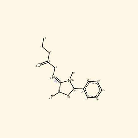 CCCC(=O)C/N=C1/C(F)CC(c2ccccc2)N1C